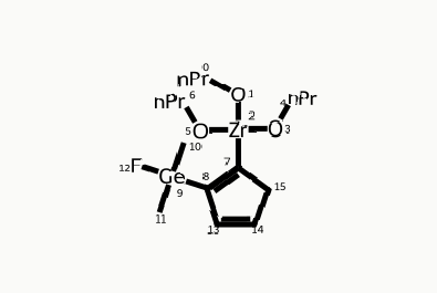 CCC[O][Zr]([O]CCC)([O]CCC)[C]1=[C]([Ge]([CH3])([CH3])[F])C=CC1